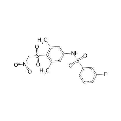 Cc1cc(NS(=O)(=O)c2cccc(F)c2)cc(C)c1S(=O)(=O)C[N+](=O)[O-]